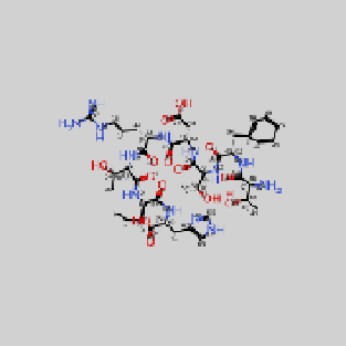 CC[C@H](C)[C@H](NC(=O)[C@@H](NC(=O)[C@H](CCCNC(=N)N)NC(=O)[C@H](CC(=O)O)NC(=O)[C@@H](NC(=O)[C@H](Cc1ccccc1)NC(=O)[C@@H](N)[C@@H](C)O)[C@@H](C)O)[C@@H](C)O)C(=O)N[C@@H](Cc1c[nH]cn1)C(=O)O